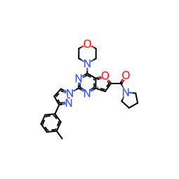 Cc1cccc(-c2ccn(-c3nc(N4CCOCC4)c4oc(C(=O)N5CCCC5)cc4n3)n2)c1